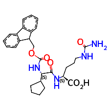 NC(=O)NCCC[C@H](NC(=O)[C@@H](NC(=O)OCC1c2ccccc2-c2ccccc21)C1CCCC1)C(=O)O